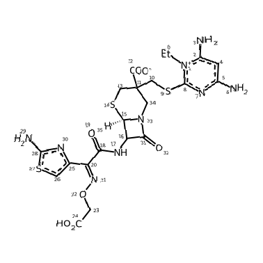 CC[n+]1c(N)cc(N)nc1SCC1(C(=O)[O-])CS[C@@H]2C(NC(=O)C(=NOCC(=O)O)c3csc(N)n3)C(=O)N2C1